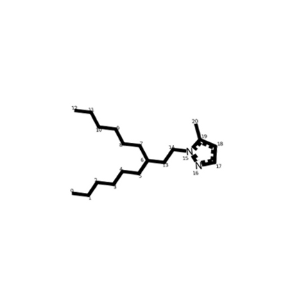 CCCCCCC(CCCCCC)CCn1nccc1C